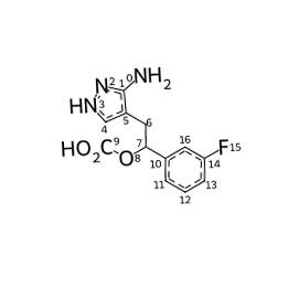 Nc1n[nH]cc1CC(OC(=O)O)c1cccc(F)c1